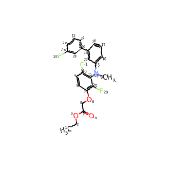 CCOC(=O)COc1ccc(F)c(N(C)c2cccc(-c3cccc(F)c3)c2)c1F